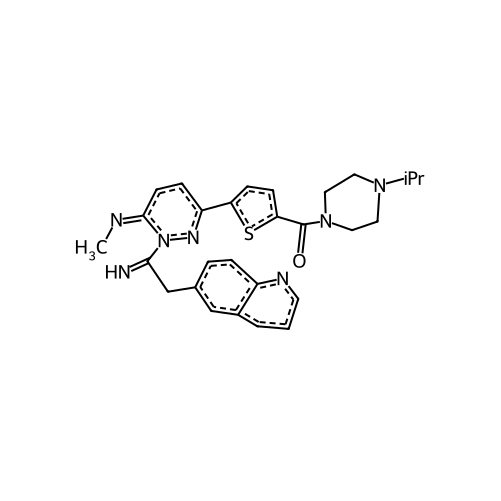 C/N=c1/ccc(-c2ccc(C(=O)N3CCN(C(C)C)CC3)s2)nn1C(=N)Cc1ccc2ncccc2c1